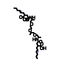 CCC/C=C/CC(CC(=O)NC(C)COCCOC(C)COCC(C)NC(=O)CC(C/C=C/CCC)C(=O)O)C(=O)O